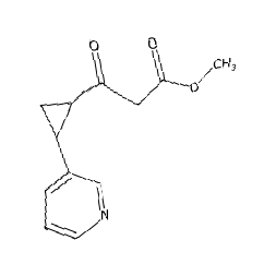 COC(=O)CC(=O)C1CC1c1cccnc1